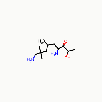 BC(CC(N)C(=O)C(C)O)CC(C)(C)CN